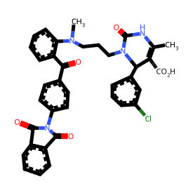 CC1=C(C(=O)O)C(c2cccc(Cl)c2)N(CCCN(C)c2ccccc2C(=O)c2ccc(N3C(=O)c4ccccc4C3=O)cc2)C(=O)N1